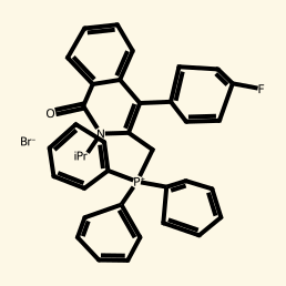 CC(C)n1c(C[P+](c2ccccc2)(c2ccccc2)c2ccccc2)c(-c2ccc(F)cc2)c2ccccc2c1=O.[Br-]